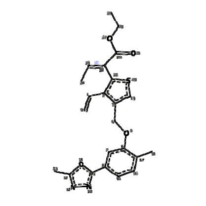 C=Cc1c(COc2cc(-c3nnc(C)o3)ccc2C)csc1/C(=C\C)C(=O)OCC